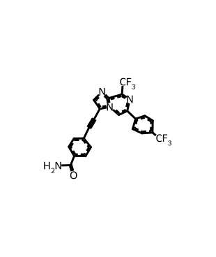 NC(=O)c1ccc(C#Cc2cnc3c(C(F)(F)F)nc(-c4ccc(C(F)(F)F)cc4)cn23)cc1